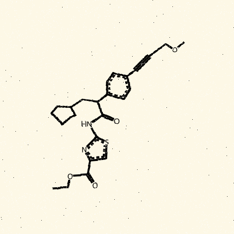 CCOC(=O)c1csc(NC(=O)C(CC2CCCC2)c2ccc(C#CCOC)cc2)n1